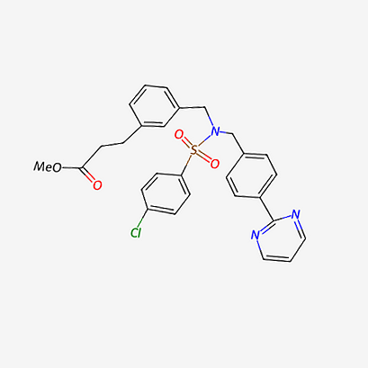 COC(=O)CCc1cccc(CN(Cc2ccc(-c3ncccn3)cc2)S(=O)(=O)c2ccc(Cl)cc2)c1